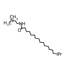 CC(C)CCCCCCCCCCCCCCC(=O)NCCN(C)C